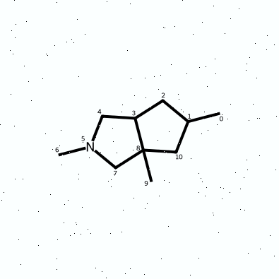 CC1CC2CN(C)CC2(C)C1